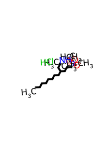 CCCCCCCCCC(CCC[Si](OC)(OC)OC)CC(C)(C)N.Cl